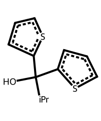 CC(C)C(O)(c1cccs1)c1cccs1